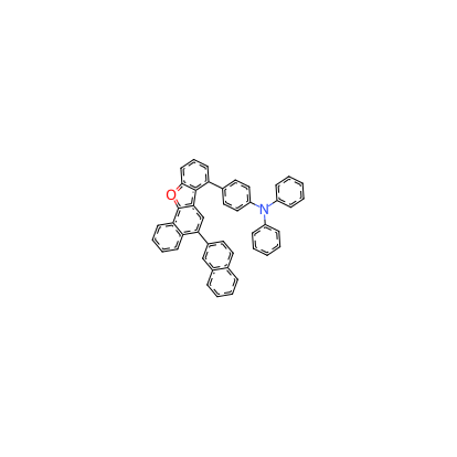 c1ccc(N(c2ccccc2)c2ccc(-c3cccc4oc5c6ccccc6c(-c6ccc7ccccc7c6)cc5c34)cc2)cc1